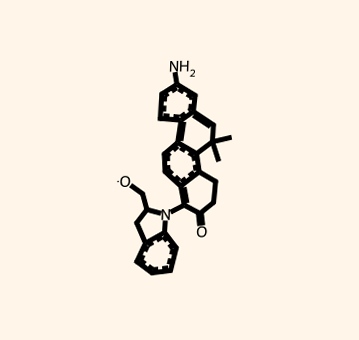 CC1(C)C=c2cc(N)ccc2=c2ccc3c(c21)CCC(=O)C=3N1c2ccccc2CC1C[O]